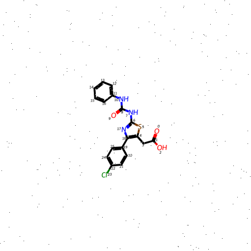 O=C(O)Cc1sc(NC(=O)Nc2ccccc2)nc1-c1ccc(Cl)cc1